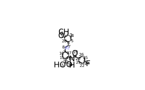 COc1cccc(/C=C/c2ccc(C(=O)O)c(NC(=O)c3ccc(F)cc3)c2)c1